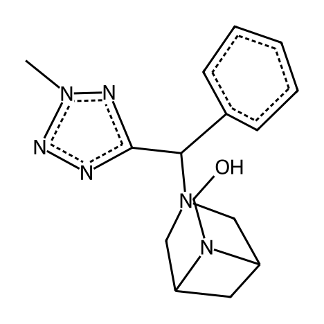 Cn1nnc(C(c2ccccc2)N2CC3CC(C2)N3CO)n1